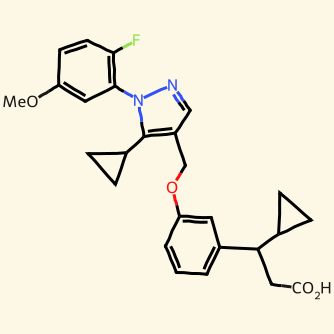 COc1ccc(F)c(-n2ncc(COc3cccc(C(CC(=O)O)C4CC4)c3)c2C2CC2)c1